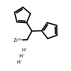 [H-].[H-].[H-].[Zr+3][CH2]C(C1=CC=CC1)C1=CC=CC1